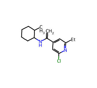 C=C(NC1CCCCC1C)c1cc(Cl)nc(CC)c1